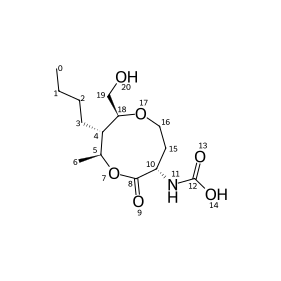 CCCC[C@H]1[C@H](C)OC(=O)[C@@H](NC(=O)O)CCO[C@@H]1CO